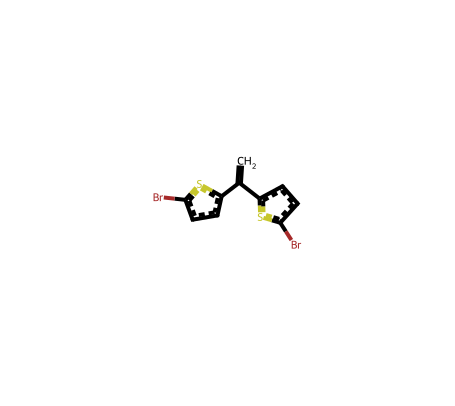 C=C(c1ccc(Br)s1)c1ccc(Br)s1